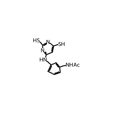 CC(=O)Nc1cccc(Nc2cc(S)nc(S)n2)c1